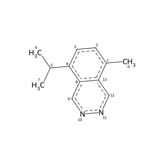 Cc1ccc(C(C)C)c2cnncc12